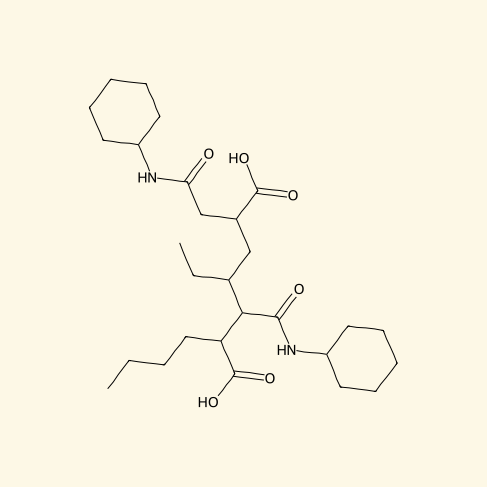 CCCCC(C(=O)O)C(C(=O)NC1CCCCC1)C(CC)CC(CC(=O)NC1CCCCC1)C(=O)O